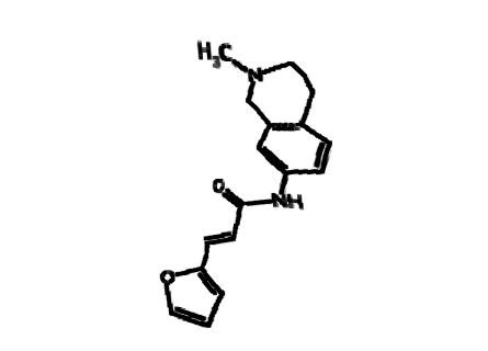 CN1CCc2ccc(NC(=O)/C=C/c3ccco3)cc2C1